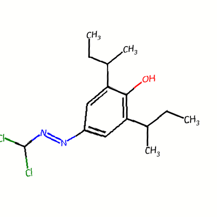 CCC(C)c1cc(N=NC(Cl)Cl)cc(C(C)CC)c1O